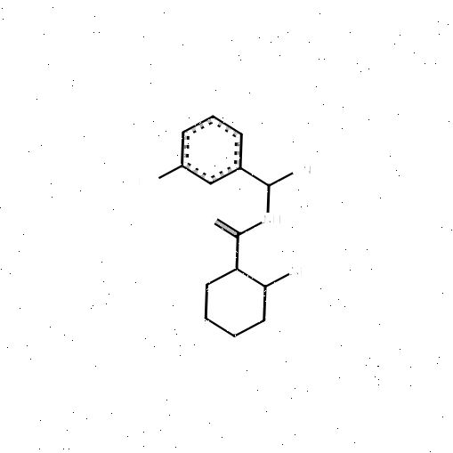 N#CC(NC(=O)C1CCCCC1N)c1cccc(O)c1